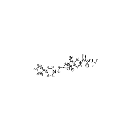 CC(C)OC(=O)Nc1ccc2c(c1)C(=O)N(CCCCN1CCN(c3ncccn3)CC1)S2(=O)=O